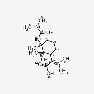 CN(C)C(=O)NC1(C)CCCC(C(C(=O)O)N(C)C)C1(C)C